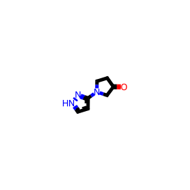 O=C1CCN(c2cc[nH]n2)C1